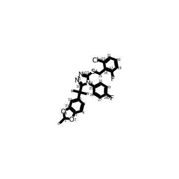 CC1Oc2ccc(C(C)(C)c3nnc(SCc4c(F)cccc4Cl)n3-c3ccc(F)cc3)cc2O1